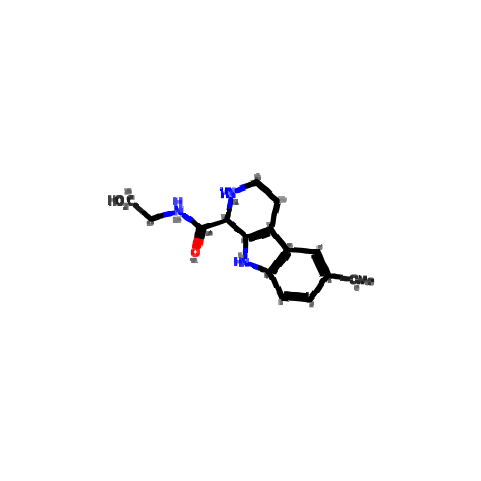 COc1ccc2[nH]c3c(c2c1)CCNC3C(=O)NCC(=O)O